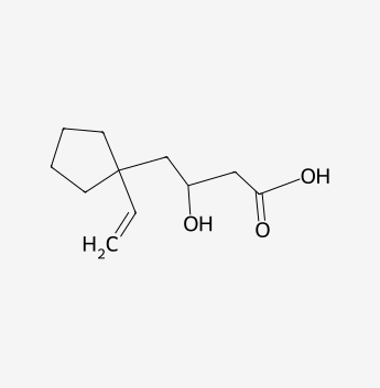 C=CC1(CC(O)CC(=O)O)CCCC1